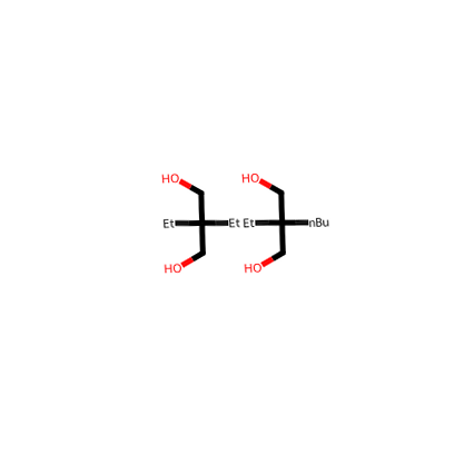 CCC(CC)(CO)CO.CCCCC(CC)(CO)CO